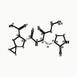 CCCC(=O)N1CC2(CC2)C[C@H]1C(=O)N[C@@H](C[C@@H]1CCNC1=O)C(=O)COC(F)(F)F